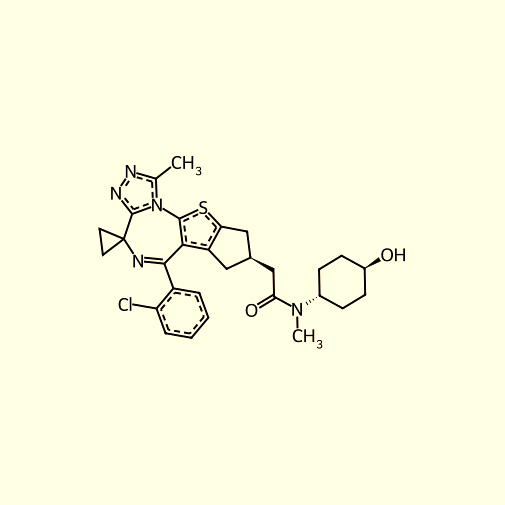 Cc1nnc2n1-c1sc3c(c1C(c1ccccc1Cl)=NC21CC1)C[C@H](CC(=O)N(C)[C@H]1CC[C@H](O)CC1)C3